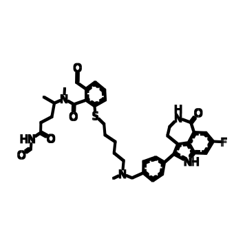 CC(CCC(=O)NC=O)N(C)C(=O)c1c(C=O)cccc1SCCCCCN(C)Cc1ccc(-c2[nH]c3cc(F)cc4c3c2CCNC4=O)cc1